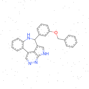 c1ccc(COc2cccc(C3Nc4ccccc4-c4cnnc5[nH]cc3c45)c2)cc1